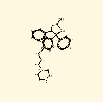 OC1CC(c2ccccc2)C(c2ccccc2)(c2ccc(OCCN3CCOCC3)cc2)O1